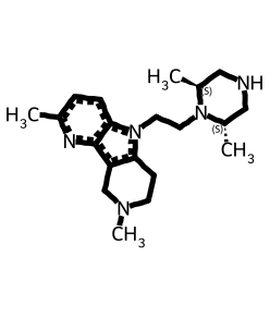 Cc1ccc2c(n1)c1c(n2CCN2[C@@H](C)CNC[C@@H]2C)CCN(C)C1